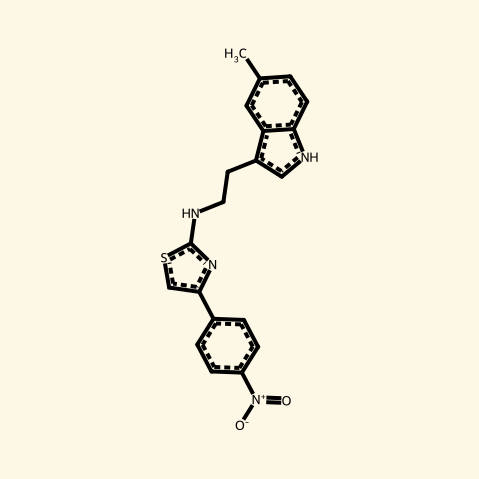 Cc1ccc2[nH]cc(CCNc3nc(-c4ccc([N+](=O)[O-])cc4)cs3)c2c1